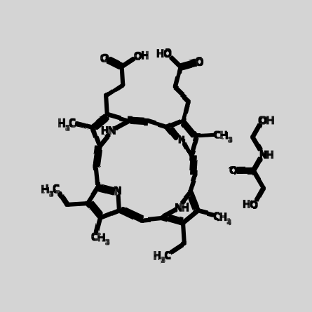 CCC1=C(C)c2cc3[nH]c(cc4nc(cc5[nH]c(cc1n2)c(C)c5CCC(=O)O)C(CCC(=O)O)=C4C)c(C)c3CC.O=C(CO)NCO